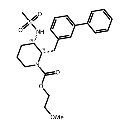 COCCOC(=O)N1CCC[C@H](NS(C)(=O)=O)[C@@H]1Cc1cccc(-c2ccccc2)c1